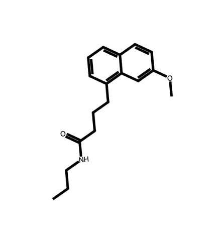 CCCNC(=O)CCCc1cccc2ccc(OC)cc12